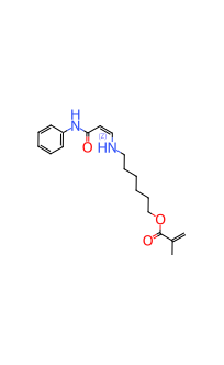 C=C(C)C(=O)OCCCCCCN/C=C\C(=O)Nc1ccccc1